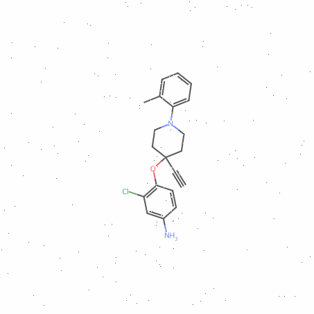 C#CC1(Oc2ccc(N)cc2Cl)CCN(c2ccccc2C)CC1